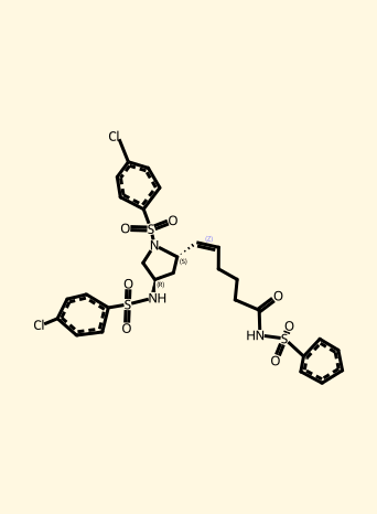 O=C(CCC/C=C\[C@@H]1C[C@@H](NS(=O)(=O)c2ccc(Cl)cc2)CN1S(=O)(=O)c1ccc(Cl)cc1)NS(=O)(=O)c1ccccc1